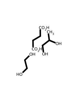 CC(O)CO.O=C(O)CCC(=O)O.OCCO